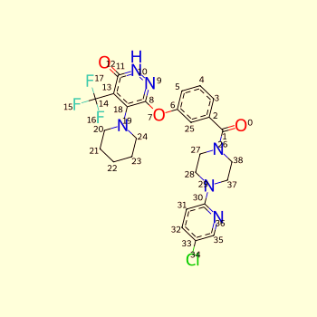 O=C(c1cccc(Oc2n[nH]c(=O)c(C(F)(F)F)c2N2CCCCC2)c1)N1CCN(c2ccc(Cl)cn2)CC1